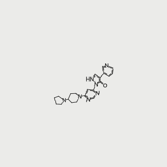 O=c1c(-c2cccnc2)c[nH]n1-c1cc(N2CCC(N3CCCC3)CC2)ncn1